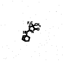 CC1(C(F)(F)F)SC(NC23CCC(CC2)C3)=NC1=O